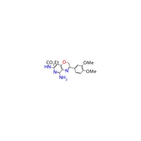 CCOC(=O)Nc1cc2c(c(N)n1)N=C(c1ccc(OC)c(OC)c1)CO2